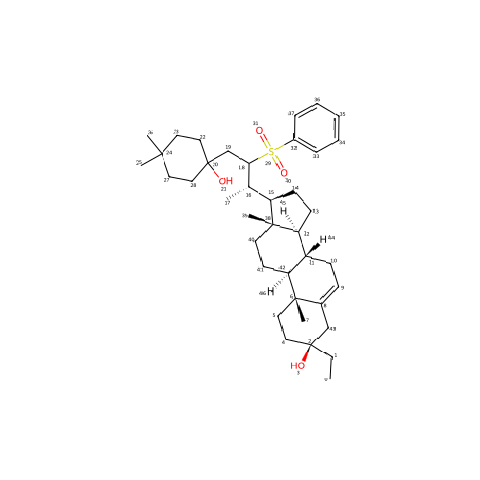 CC[C@]1(O)CC[C@@]2(C)C(=CC[C@H]3[C@@H]4CC[C@H]([C@H](C)C(CC5(O)CCC(C)(C)CC5)S(=O)(=O)c5ccccc5)[C@@]4(C)CC[C@@H]32)C1